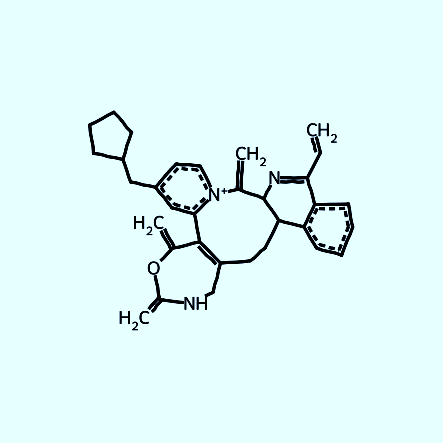 C=CC1=NC2C(=C)[n+]3ccc(CC4CCCC4)cc3C3=C(CCC2c2ccccc21)CNC(=C)OC3=C